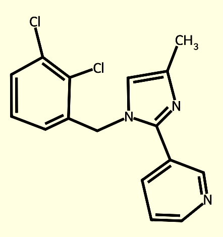 Cc1cn(Cc2cccc(Cl)c2Cl)c(-c2cccnc2)n1